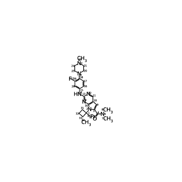 CC(C)C1(n2c(C(=O)N(C)C)cc3cnc(Nc4ccc(N5CCN(C)CC5)c(F)c4)nc32)CC[C@H]1C